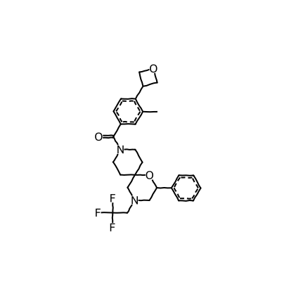 Cc1cc(C(=O)N2CCC3(CC2)CN(CC(F)(F)F)CC(c2ccccc2)O3)ccc1C1COC1